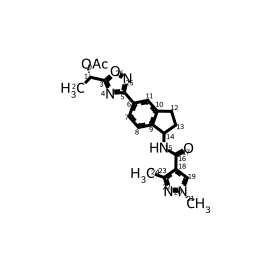 CC(=O)O[C@@H](C)c1nc(-c2ccc3c(c2)CCC3NC(=O)c2cn(C)nc2C)no1